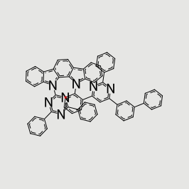 c1ccc(-c2cccc(-c3cc(-c4ccccc4-n4c5ccccc5c5ccc6c7ccccc7n(-c7nc(-c8ccccc8)nc(-c8ccccc8)n7)c6c54)nc(-c4ccccc4)n3)c2)cc1